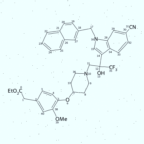 CCOC(=O)Cc1ccc(OC2CCN(CC(O)(c3cn(Cc4ccc5ccccc5c4)c4cc(C#N)ccc34)C(F)(F)F)CC2)c(OC)c1